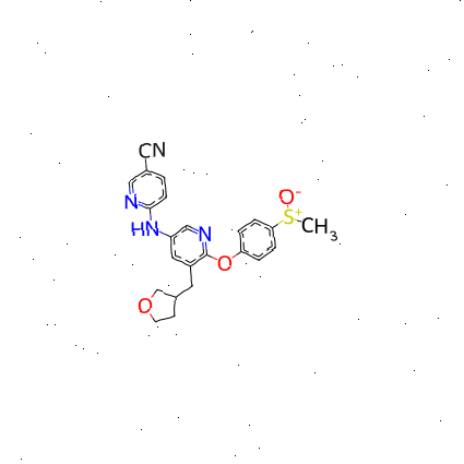 C[S+]([O-])c1ccc(Oc2ncc(Nc3ccc(C#N)cn3)cc2CC2CCOC2)cc1